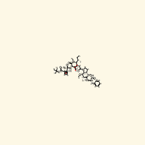 CC[C@H](C)[C@@H]([C@@H](CC(=O)N1CCC[C@H]1[C@H](OC)[C@@H](C)C(=O)N[C@@H](Cc1ccccc1)[PH](=O)O)OC)N(C)C(=O)[C@@H](NC(=O)[C@@H]1C2CC(C2)N1C(=O)OC(C)(C)C)C(C)C